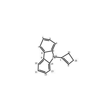 C1=C(n2c3ccccc3c3ccccc32)CC1